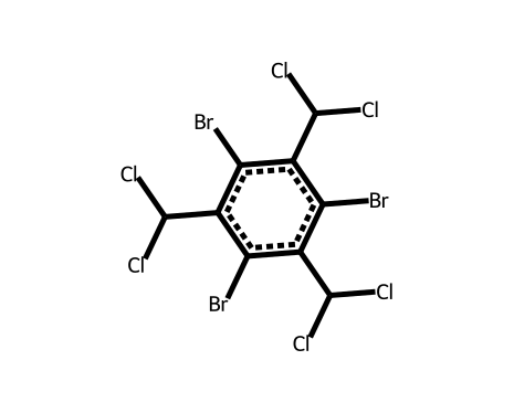 ClC(Cl)c1c(Br)c(C(Cl)Cl)c(Br)c(C(Cl)Cl)c1Br